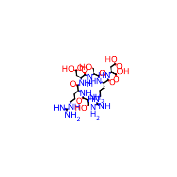 N=C(N)NCCC[C@H](NC(=O)[C@H](CO)NC(=O)[C@H](CC(=O)O)NC(=O)[C@H](CCCNC(=N)N)NC(=O)[C@@H](N)CO)C(=O)N[C@@H](CC(=O)O)C(=O)O